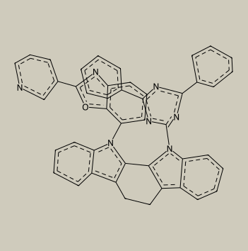 c1ccc(-c2nc(-c3ccccc3)nc(-n3c4c(c5ccccc53)CCc3c-4n(-c4cccc5nc(-c6cccnc6)oc45)c4ccccc34)n2)cc1